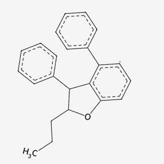 CCCC1Oc2cc[c]c(-c3ccccc3)c2C1c1ccccc1